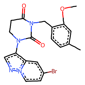 COc1cc(C)ccc1CN1C(=O)CCN(c2cnn3ccc(Br)cc23)C1=O